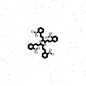 CCN(CC)c1ccccc1C=Cc1nc(C=Cc2ccccc2N(CC)CC)c(C=Cc2ccccc2N(CC)CC)nc1C=Cc1ccccc1N(CC)CC